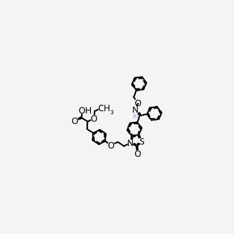 CCOC(Cc1ccc(OCCn2c(=O)sc3cc(/C(=N/OCc4ccccc4)c4ccccc4)ccc32)cc1)C(=O)O